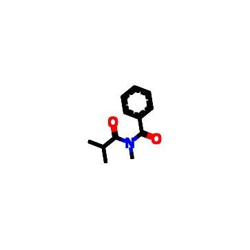 CC(C)C(=O)N(C)C(=O)c1ccccc1